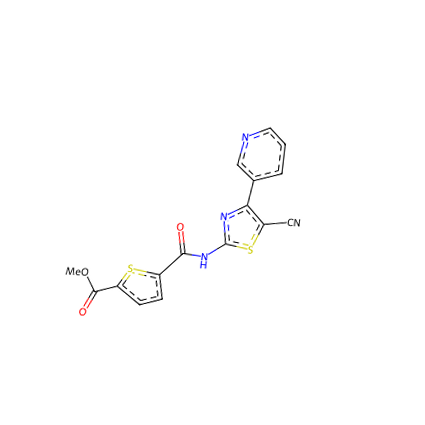 COC(=O)c1ccc(C(=O)Nc2nc(-c3cccnc3)c(C#N)s2)s1